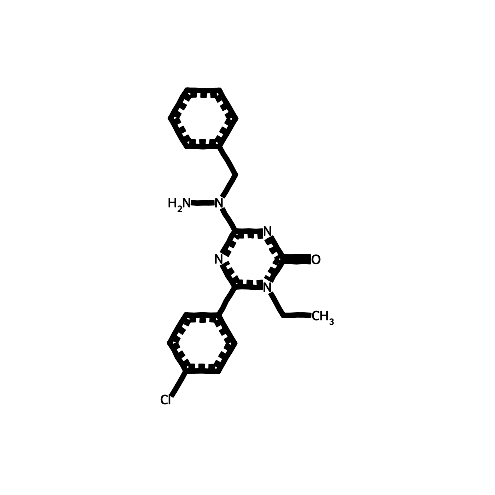 CCn1c(-c2ccc(Cl)cc2)nc(N(N)Cc2ccccc2)nc1=O